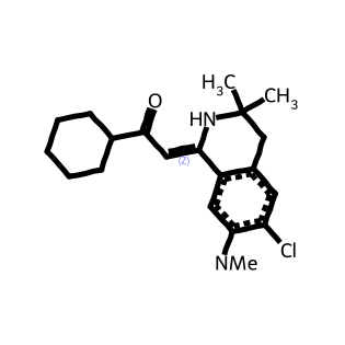 CNc1cc2c(cc1Cl)CC(C)(C)N/C2=C\C(=O)C1CCCCC1